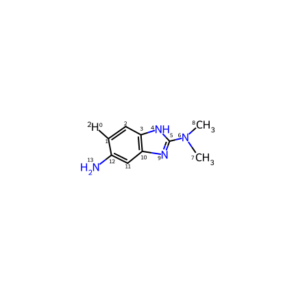 [2H]c1cc2[nH]c(N(C)C)nc2cc1N